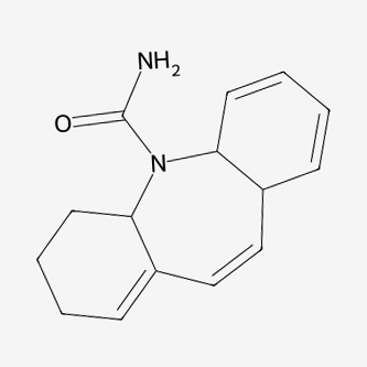 NC(=O)N1C2CCCC=C2C=CC2C=CC=CC21